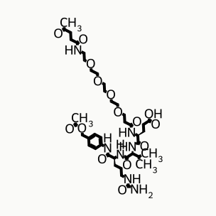 CC(=O)CCC(=O)NCCOCCOCCOCCOCCC(=O)N[C@@H](CCC(=O)O)C(=O)N[C@H](C(=O)N[C@@H](CCCNC(N)=O)C(=O)Nc1ccc(COC(C)=O)cc1)C(C)C